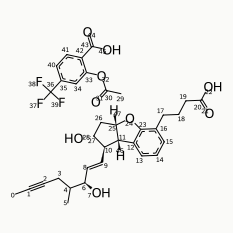 CC#CCC(C)[C@H](O)/C=C/[C@@H]1[C@H]2c3cccc(CCCC(=O)O)c3O[C@H]2C[C@H]1O.CC(=O)Oc1cc(C(F)(F)F)ccc1C(=O)O